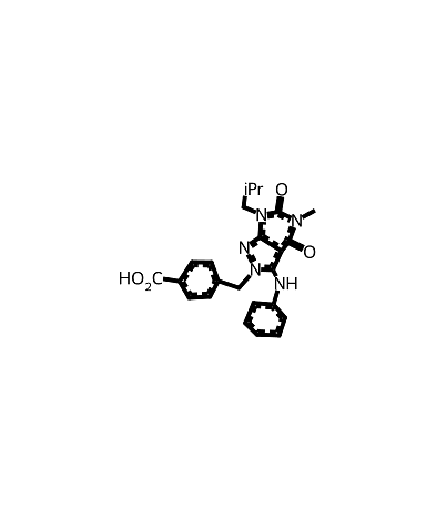 CC(C)Cn1c(=O)n(C)c(=O)c2c(Nc3ccccc3)n(Cc3ccc(C(=O)O)cc3)nc21